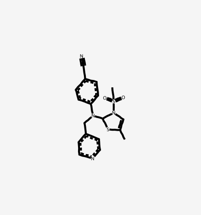 CC1=CN(S(C)(=O)=O)C(N(Cc2ccncc2)c2ccc(C#N)cc2)S1